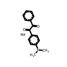 CN(C)c1ccc(C(=O)C(=O)c2ccccc2)cc1.[Na]